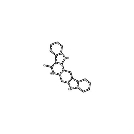 O=c1[nH]c2cc3[nH]c4ccccc4c3cc2c2[nH]c3ccccc3c12